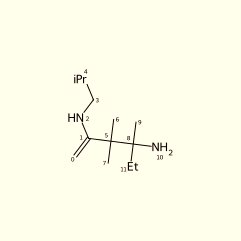 C=C(NCC(C)C)C(C)(C)C(C)(N)CC